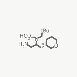 CC(C)(C)CN(C(=O)O)C(CN)C[C@@H]1CCCOC1